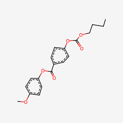 CCCCOC(=O)Oc1ccc(C(=O)Oc2ccc(OC)cc2)cc1